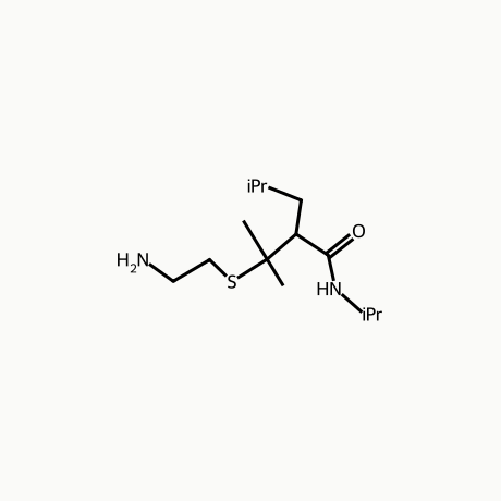 CC(C)CC(C(=O)NC(C)C)C(C)(C)SCCN